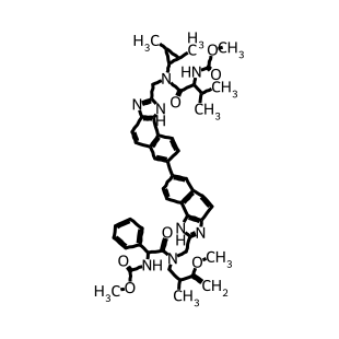 C=C(OC)C(C)CN(Cc1nc2ccc3cc(-c4ccc5c(ccc6nc(CN(C(=O)C(NC(=O)OC)C(C)C)C7C(C)C7C)[nH]c65)c4)ccc3c2[nH]1)C(=O)C(NC(=O)OC)c1ccccc1